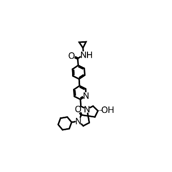 O=C(NC1CC1)c1ccc(-c2ccc(CN3C[C@H](O)CC34CCN(C3CCCCC3)C4=O)nc2)cc1